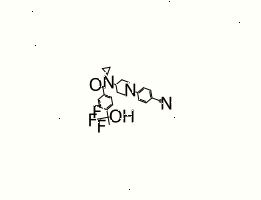 CC(O)(c1ccc(C(=O)N(C2CC2)C2CCN(c3ccc(C#N)cc3)CC2)cc1)C(F)(F)F